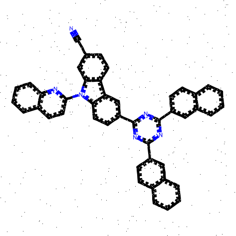 N#Cc1ccc2c3cc(-c4nc(-c5ccc6ccccc6c5)nc(-c5ccc6ccccc6c5)n4)ccc3n(-c3ccc4ccccc4n3)c2c1